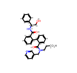 O=C(O)CCN(Cc1cccnc1)C(=O)c1ccccc1-c1ccccc1C(=O)N[C@H](CO)c1ccccc1